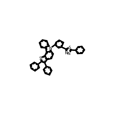 c1ccc(-c2nnc(-c3cccc(-n4c5ccccc5c5c6sc(-c7ccccc7)c(-c7ccccc7)c6ccc54)c3)s2)cc1